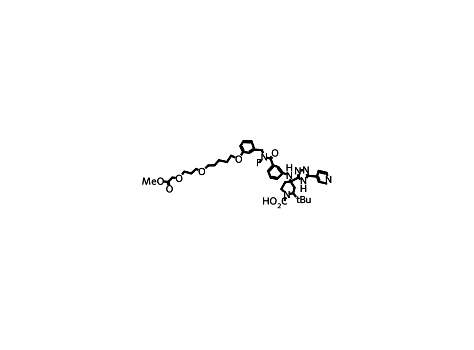 COC(=O)COCCCOCCCCCOc1cccc(CN(F)C(=O)c2cccc(NC3(c4nnc(-c5ccncc5)[nH]4)CCN(C(=O)O)C(C(C)(C)C)C3)c2)c1